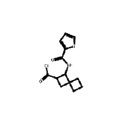 O=C(NC1C(C(=O)O)CC12CCC2)c1cccs1